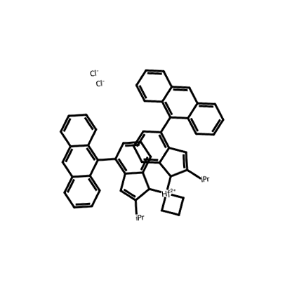 CC(C)C1=Cc2c(-c3c4ccccc4cc4ccccc34)cccc2[CH]1[Hf+2]1([CH]2C(C(C)C)=Cc3c(-c4c5ccccc5cc5ccccc45)cccc32)[CH2]C[CH2]1.[Cl-].[Cl-]